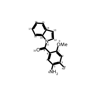 COc1cc(F)c(N)cc1C(=O)n1ccc2ccccc21